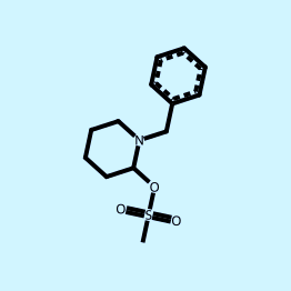 CS(=O)(=O)OC1CCCCN1Cc1ccccc1